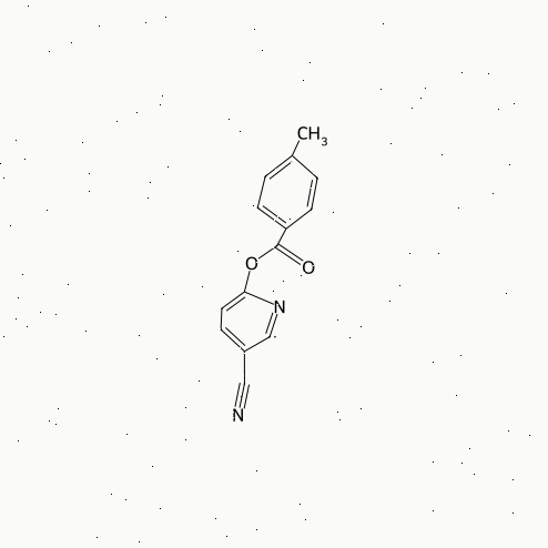 Cc1ccc(C(=O)Oc2ccc(C#N)[c]n2)cc1